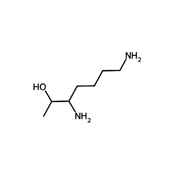 CC(O)C(N)CCCCN